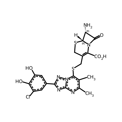 Cc1nc2nc(-c3cc(O)c(O)c(Cl)c3)nn2c(SCC2=C(C(=O)O)N3C(=O)[C@@H](N)[C@H]3SC2)c1C